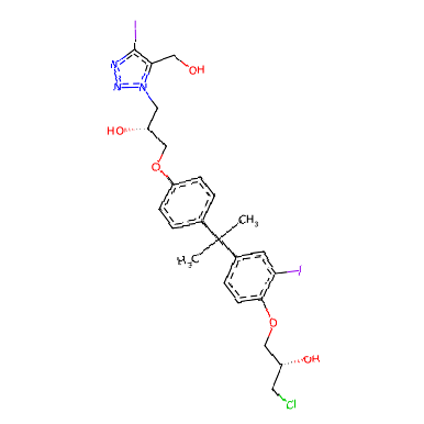 CC(C)(c1ccc(OC[C@H](O)Cn2nnc(I)c2CO)cc1)c1ccc(OC[C@H](O)CCl)c(I)c1